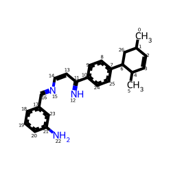 CC1C=CC(C)C(c2ccc(C(=N)/C=C\N=C\c3cccc(N)c3)cc2)C1